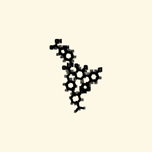 CC(C)N1CCN(c2ccc(C[C@@H](C(=O)Nc3ccc4[nH]c(C(=O)O)cc4c3)N3CCN(c4cc(Cl)ccc4-n4cnnn4)C(=O)C3=O)cc2)C(=O)C1